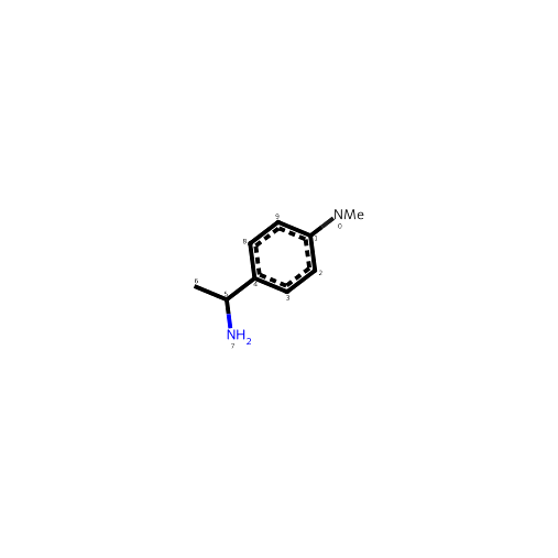 CNc1ccc(C(C)N)cc1